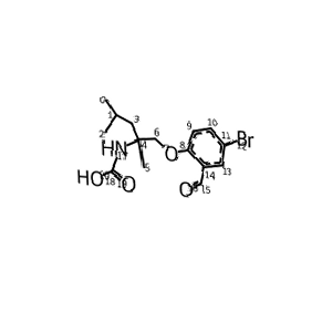 CC(C)CC(C)(COc1ccc(Br)cc1C=O)NC(=O)O